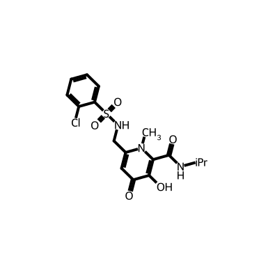 CC(C)NC(=O)c1c(O)c(=O)cc(CNS(=O)(=O)c2ccccc2Cl)n1C